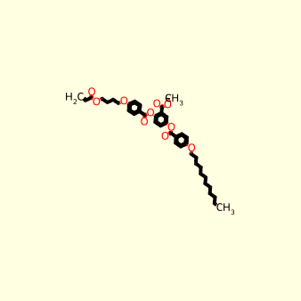 C=CC(=O)OCCCCOc1ccc(C(=O)Oc2ccc(OC(=O)c3ccc(OCCCCCCCCCCCC)cc3)cc2C(=O)OC)cc1